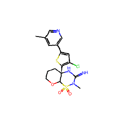 Cc1cncc(-c2cc(Cl)c([C@]34CCCOC3S(=O)(=O)N(C)C(=N)N4)s2)c1